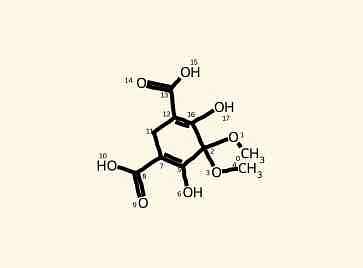 COC1(OC)C(O)=C(C(=O)O)CC(C(=O)O)=C1O